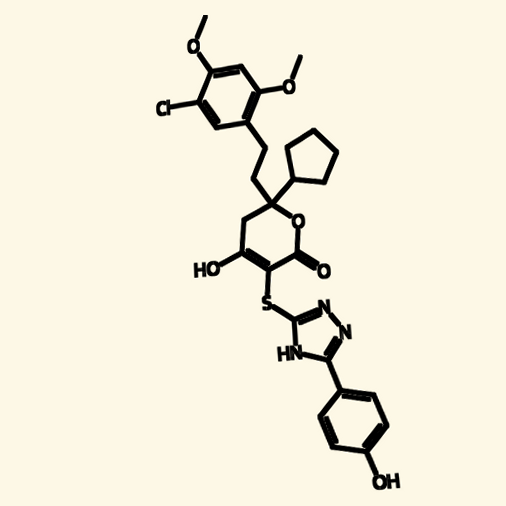 COc1cc(OC)c(CCC2(C3CCCC3)CC(O)=C(Sc3nnc(-c4ccc(O)cc4)[nH]3)C(=O)O2)cc1Cl